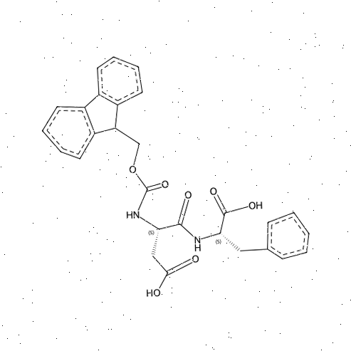 O=C(O)C[C@H](NC(=O)OCC1c2ccccc2-c2ccccc21)C(=O)N[C@@H](Cc1ccccc1)C(=O)O